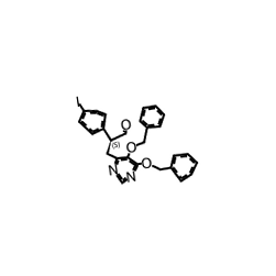 O=C[C@@H](Cc1ncnc(OCc2ccccc2)c1OCc1ccccc1)c1ccc(I)cc1